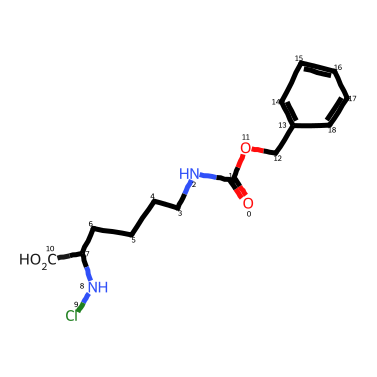 O=C(NCCCCC(NCl)C(=O)O)OCc1ccccc1